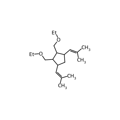 CCOCC1C(C=C(C)C)CC(C=C(C)C)C1COCC